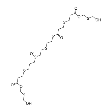 O=C(CCSCCC[S+]([O-])CCSCCSC(=O)CCSCCC(=O)OCSCO)OCSCO